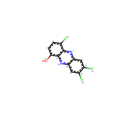 Oc1ccc(Cl)c2nc3cc(Cl)c(Cl)cc3nc12